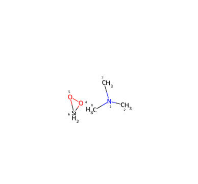 CN(C)C.O1O[SiH2]1